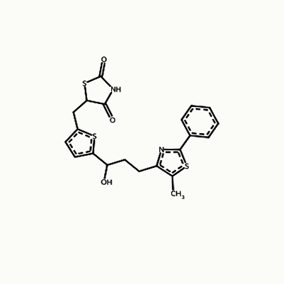 Cc1sc(-c2ccccc2)nc1CCC(O)c1ccc(CC2SC(=O)NC2=O)s1